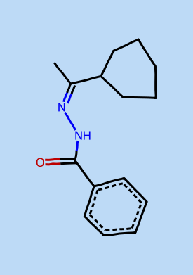 CC(=NNC(=O)c1ccccc1)C1CCCCC1